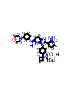 CC(C)(C)N(C(=O)O)C1(c2ccc(-n3c(-c4cccnc4N)nc4ccc(Nc5cccc(N6CCOCC6)c5)nc43)cc2)CCC1